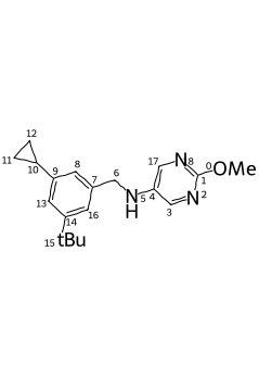 COc1ncc(NCc2cc(C3CC3)cc(C(C)(C)C)c2)cn1